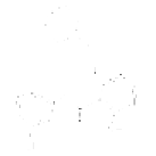 N=C(Oc1cccc(Cl)c1)c1c(N)ncnc1NCC1CCOCC1